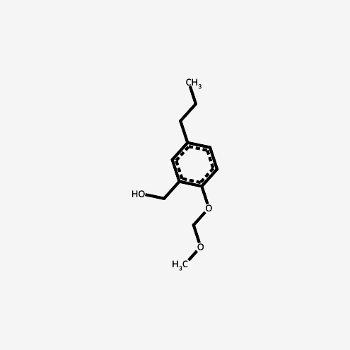 CCCc1ccc(OCOC)c(CO)c1